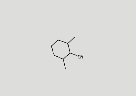 CC1CCCC(C)C1C#N